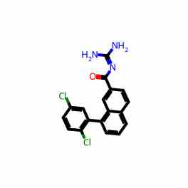 NC(N)=NC(=O)c1ccc2cccc(-c3cc(Cl)ccc3Cl)c2c1